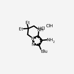 CCC1(CC)CNc2c(N)c(C(C)(C)C)nn2C1.Cl.Cl